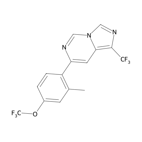 Cc1cc(OC(F)(F)F)ccc1-c1cc2c(C(F)(F)F)ncn2cn1